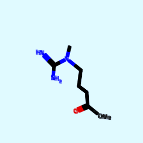 COC(=O)CCCN(C)C(=N)N